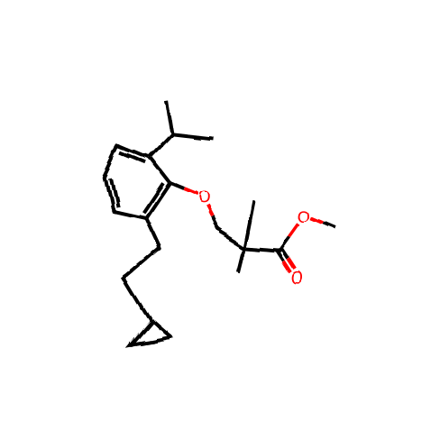 COC(=O)C(C)(C)COc1c(CCC2CC2)cccc1C(C)C